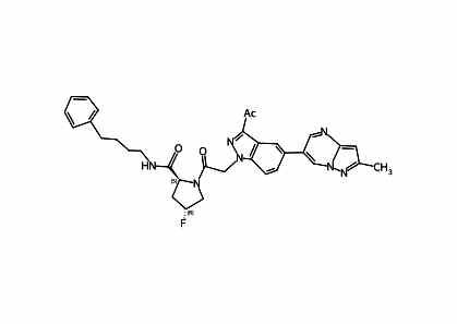 CC(=O)c1nn(CC(=O)N2C[C@H](F)C[C@H]2C(=O)NCCCCc2ccccc2)c2ccc(-c3cnc4cc(C)nn4c3)cc12